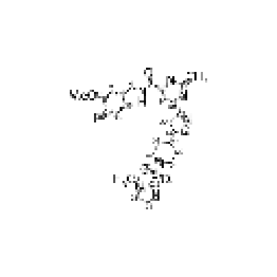 COc1cc(CNC(=O)c2cc(C3=NOC(C4CCN(S(=O)(=O)C5=NCCN5C)CC4)C3)nc(C)n2)ccc1F